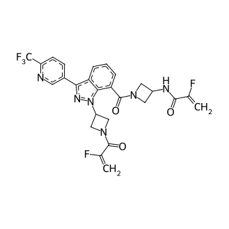 C=C(F)C(=O)NC1CN(C(=O)c2cccc3c(-c4ccc(C(F)(F)F)nc4)nn(C4CN(C(=O)C(=C)F)C4)c23)C1